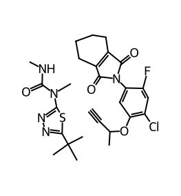 C#CC(C)Oc1cc(N2C(=O)C3=C(CCCC3)C2=O)c(F)cc1Cl.CNC(=O)N(C)c1nnc(C(C)(C)C)s1